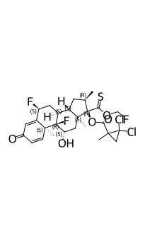 C[C@@H]1C[C@H]2[C@@H]3C[C@H](F)C4=CC(=O)C=C[C@]4(C)[C@@]3(F)[C@@H](O)C[C@]2(C)[C@@]1(OC(=O)C1(C)CC1(Cl)Cl)C(=S)OCF